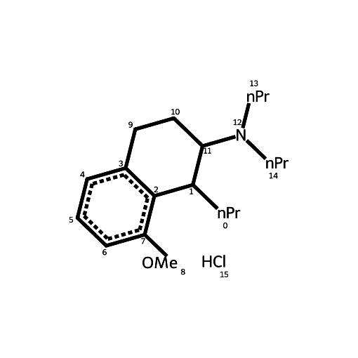 CCCC1c2c(cccc2OC)CCC1N(CCC)CCC.Cl